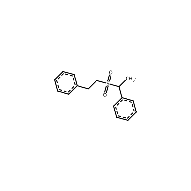 [CH2]C(c1ccccc1)S(=O)(=O)CCc1ccccc1